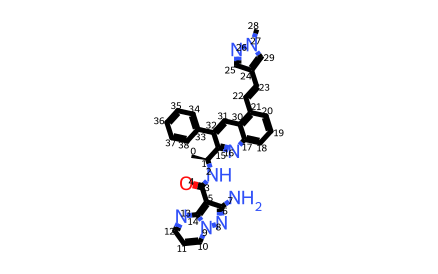 C[C@H](NC(=O)c1c(N)nn2cccnc12)c1nc2cccc(/C=C/c3cnn(C)c3)c2cc1-c1ccccc1